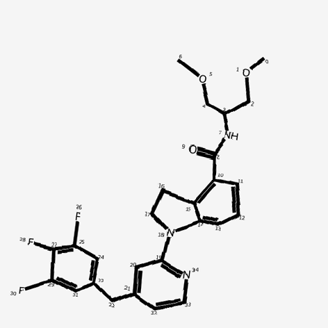 COCC(COC)NC(=O)c1cccc2c1CCN2c1cc(Cc2cc(F)c(F)c(F)c2)ccn1